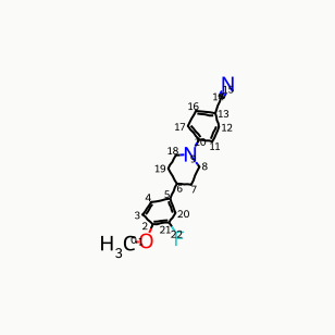 COc1ccc(C2CCN(c3ccc(C#N)cc3)CC2)cc1F